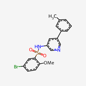 COc1ccc(Br)cc1S(=O)(=O)Nc1cncc(-c2cccc(C)c2)c1